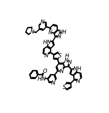 O=C(Nc1cncc(-c2cc(-c3cc(-c4nccc5[nH]c(-c6n[nH]c7ccc(-c8cncc(CN9CCCC9)c8)nc67)cc45)cs3)c3[nH]nc(-c4cc5c(-c6ccsc6)nccc5[nH]4)c3n2)c1)c1ccccc1